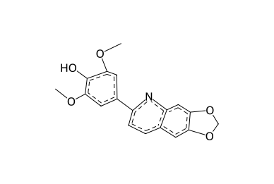 COc1cc(-c2ccc3cc4c(cc3n2)OCO4)cc(OC)c1O